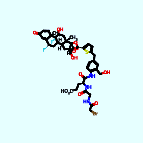 C[C@]12C=CC(=O)C=C1[C@@H](F)C[C@H]1[C@@H]3C[C@H]4O[C@@H](c5ccc(Cc6ccc(NC(=O)[C@H](CCC(=O)O)NC(=O)CNC(=O)CBr)c(CO)c6)s5)O[C@@]4(C(=O)CO)[C@@]3(C)C[C@H](O)[C@@]12F